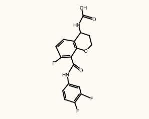 O=C(O)NC1CCOc2c1ccc(F)c2C(=O)Nc1ccc(F)c(F)c1